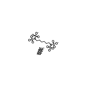 O=S(=O)([O-])N(CCCCCCN(S(=O)(=O)[O-])S(=O)(=O)[O-])S(=O)(=O)[O-].[Na+].[Na+].[Na+].[Na+]